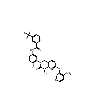 Cc1ccncc1Nc1ncc2c(n1)N(C)C(=O)N(c1cc(NC(=O)c3cccc(C(F)(F)F)c3)ccc1C)C2